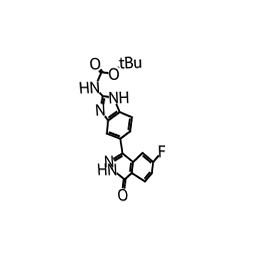 CC(C)(C)OC(=O)Nc1nc2cc(-c3n[nH]c(=O)c4ccc(F)cc34)ccc2[nH]1